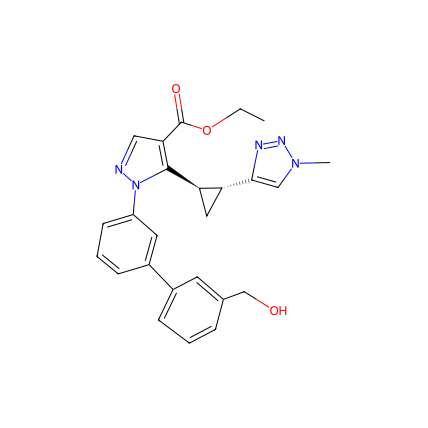 CCOC(=O)c1cnn(-c2cccc(-c3cccc(CO)c3)c2)c1[C@@H]1C[C@H]1c1cn(C)nn1